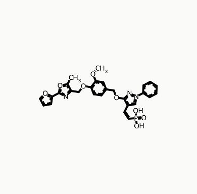 COc1cc(COc2nn(-c3ccccc3)cc2/C=C\P(=O)(O)O)ccc1OCc1nc(-c2ccco2)oc1C